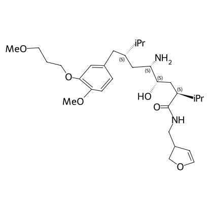 COCCCOc1cc(C[C@@H](C[C@H](N)[C@@H](O)C[C@H](C(=O)NCC2C=COC2)C(C)C)C(C)C)ccc1OC